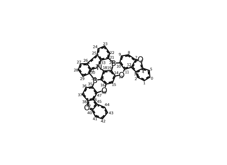 c1ccc2c(c1)oc1ccc3c(c12)Oc1cc2c4c5c1B3c1cccc3c6cccc(c6n-5c13)B4c1ccc3oc4ccccc4c3c1O2